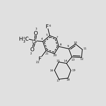 CS(=O)(=O)c1c(F)cc(C2=CCC=C2C2CCCCC2)cc1F